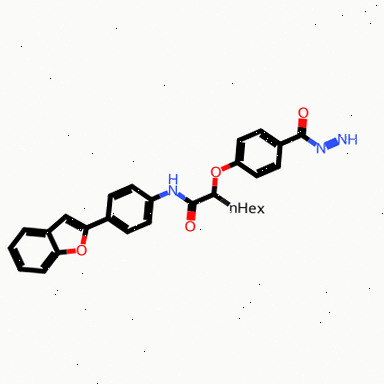 CCCCCCC(Oc1ccc(C(=O)N=N)cc1)C(=O)Nc1ccc(-c2cc3ccccc3o2)cc1